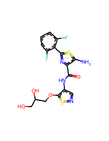 Nc1sc(-c2c(F)cccc2F)nc1C(=O)Nc1cnsc1OCC(O)CO